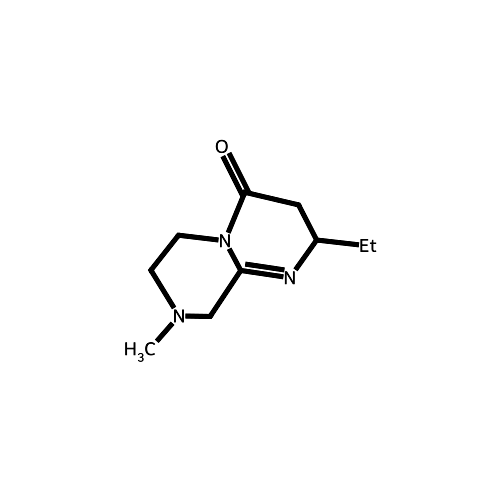 CCC1CC(=O)N2CCN(C)CC2=N1